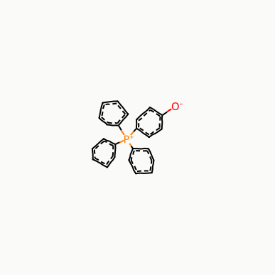 [O-]c1ccc([P+](c2ccccc2)(c2ccccc2)c2ccccc2)cc1